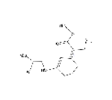 CCCCC(CC)CNC1=C/C(=C(/CN)C(=O)OCCC)CCC1